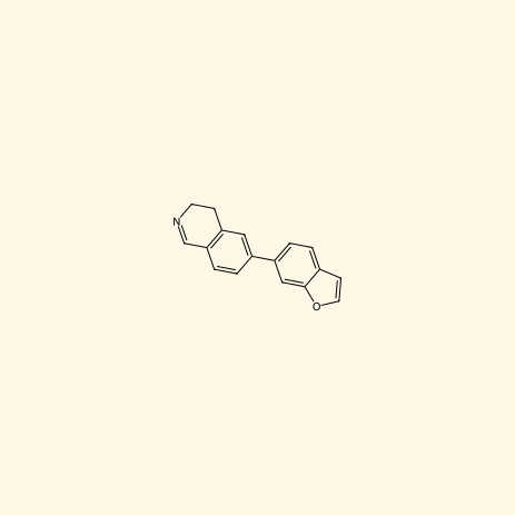 C1=NCCc2cc(-c3ccc4ccoc4c3)ccc21